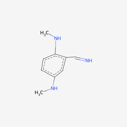 CNc1ccc(NC)c(C=N)c1